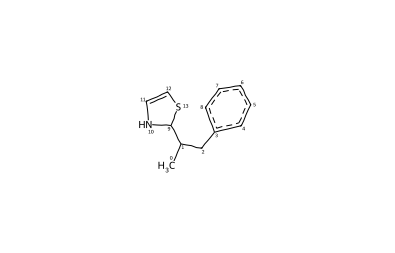 CC(Cc1ccccc1)C1NC=CS1